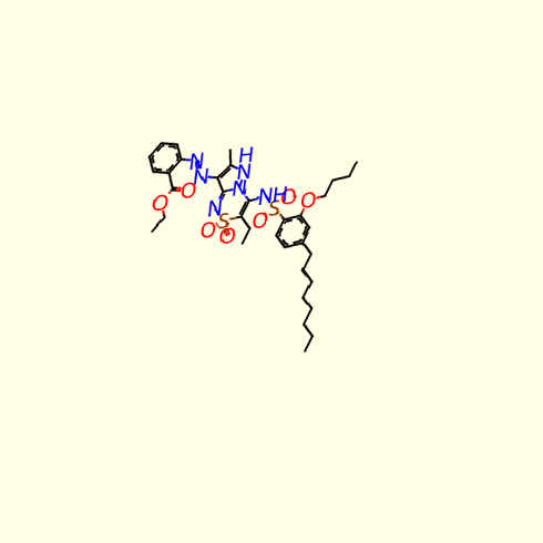 CCCCCCCCc1ccc(S(=O)(=O)NC2=C(CC)S(=O)(=O)N=C3C(/N=N/c4ccccc4C(=O)OCC)=C(C)NN32)c(OCCCC)c1